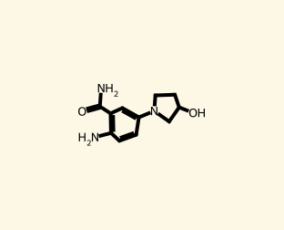 NC(=O)c1cc(N2CCC(O)C2)ccc1N